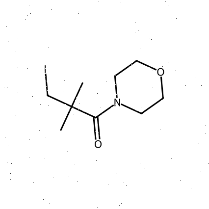 CC(C)(CI)C(=O)N1CCOCC1